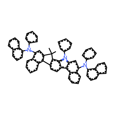 CC1(C)c2cc(N(c3ccccc3)c3cccc4ccccc34)c3ccccc3c2-c2ccc3c4c5ccccc5c(N(c5ccccc5)c5cccc6ccccc56)cc4n(-c4ccccc4)c3c21